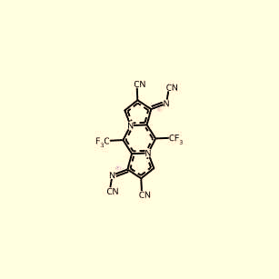 N#C/N=c1\c(C#N)cn2c(C(F)(F)F)c3/c(=N/C#N)c(C#N)cn3c(C(F)(F)F)c12